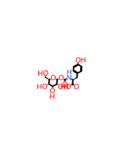 O=C(N[C@@H](Cc1ccc(O)cc1)C(=O)O)OC1O[C@H](CO)[C@@H](O)[C@H](O)[C@H]1O